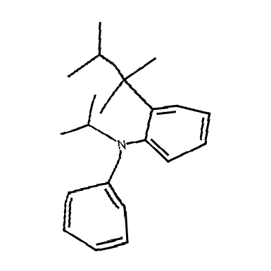 CC(C)N(c1ccccc1)c1ccccc1C(C)(C)C(C)C